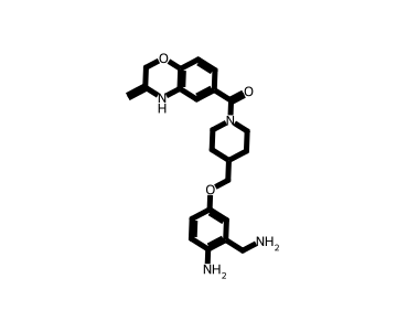 C=C1COc2ccc(C(=O)N3CCC(COc4ccc(N)c(CN)c4)CC3)cc2N1